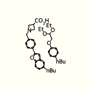 CCCCc1ccc(OCC(OCC)OCC)cc1.CCCCc1ccc2oc(-c3ccc(CN4CC(C(=O)O)C4)cc3)cc2c1